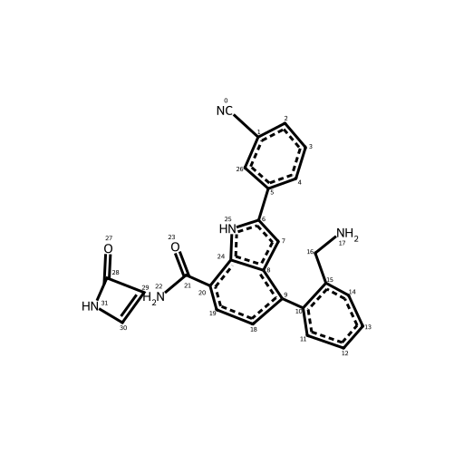 N#Cc1cccc(-c2cc3c(-c4ccccc4CN)ccc(C(N)=O)c3[nH]2)c1.O=C1C=CN1